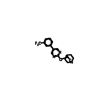 FC(F)(F)c1cccc(-c2cnc(OC3CN4CCC3CC4)nc2)c1